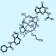 CC(C)C(=O)Nc1nc2c(ncn2[C@@H]2O[C@@H]3COP(OCCC#N)O[C@H]4[C@H](F)[C@H](n5nnc6c(NC(=O)c7ccccc7)ncnc65)O[C@@H]4COP(O)O[C@H]2[C@@H]3O[Si](C)(C)C(C)(C)C)c(=O)[nH]1